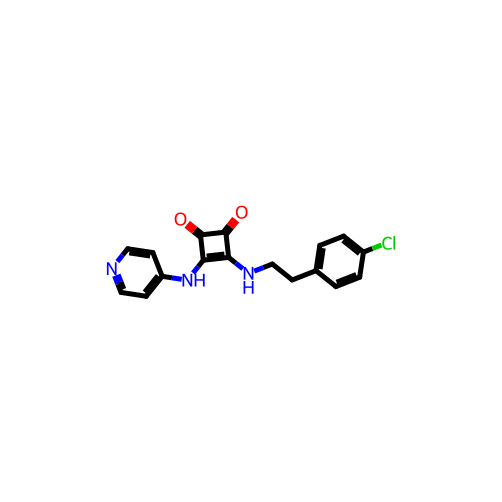 O=c1c(NCCc2ccc(Cl)cc2)c(Nc2ccncc2)c1=O